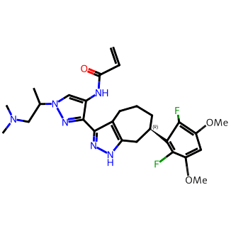 C=CC(=O)Nc1cn(C(C)CN(C)C)nc1-c1n[nH]c2c1CCC[C@@H](c1c(F)c(OC)cc(OC)c1F)C2